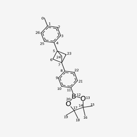 Cc1ccc(C23CC(c4ccc(B5OC(C)(C)C(C)(C)O5)cc4)(C2)C3)cc1